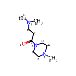 CN1CCN(C(=O)CCN(C)C(C)(C)C)CC1